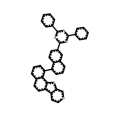 c1ccc(-c2nc(-c3ccccc3)nc(-c3ccc4c(-c5cccc6ccc7c8ccncc8sc7c56)cccc4c3)n2)cc1